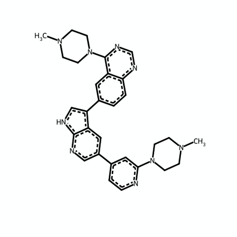 CN1CCN(c2cc(-c3cnc4[nH]cc(-c5ccc6ncnc(N7CCN(C)CC7)c6c5)c4c3)ccn2)CC1